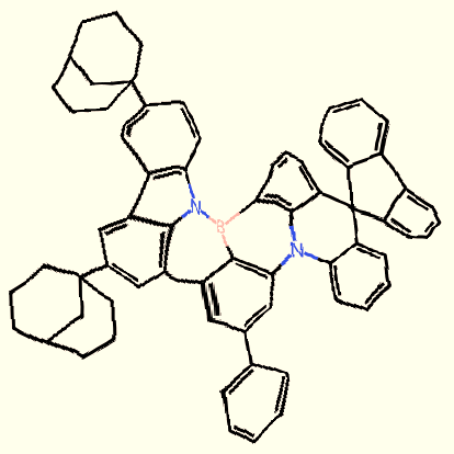 c1ccc(-c2cc3c4c(c2)N2c5ccccc5C5(c6ccccc6-c6ccccc65)c5cccc(c52)B4n2c4ccc(C56CCCC(CCC5)C6)cc4c4cc(C56CCCC(CCC5)C6)cc-3c42)cc1